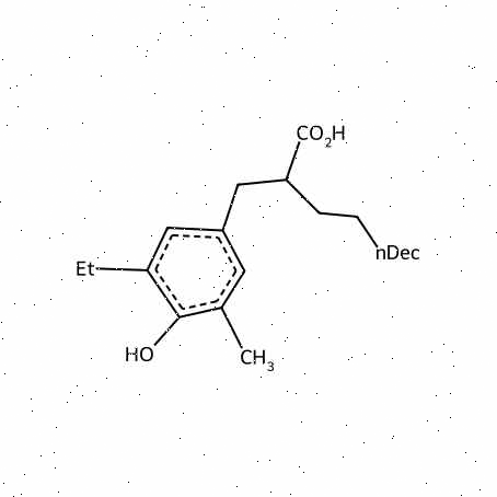 CCCCCCCCCCCCC(Cc1cc(C)c(O)c(CC)c1)C(=O)O